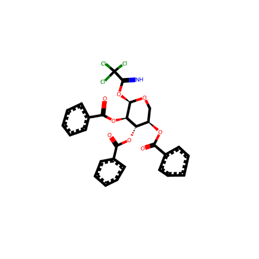 N=C(O[C@H]1OC[C@@H](OC(=O)c2ccccc2)[C@H](OC(=O)c2ccccc2)[C@H]1OC(=O)c1ccccc1)C(Cl)(Cl)Cl